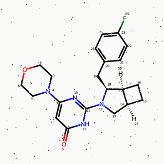 O=c1cc(N2CCOCC2)nc(N2C[C@@H]3CC[C@@H]3[C@@H]2Cc2ccc(F)cc2)[nH]1